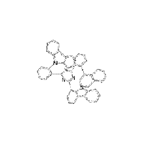 c1ccc(-c2cccc3ccccc23)c(-c2nc(-c3ccccc3-n3c4ccccc4c4ccccc43)nc(-c3cccc4c3sc3ccccc34)n2)c1